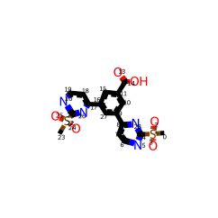 CS(=O)(=O)c1nccc(-c2cc(C(=O)O)cc(-c3ccnc(S(C)(=O)=O)n3)c2)n1